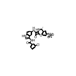 C[C@@H](Nc1c(Nc2ccc3[nH]nc(NC(=O)c4cccc(Cl)c4)c3c2)c(=O)c1=O)c1cccc(NS(C)(=O)=O)c1